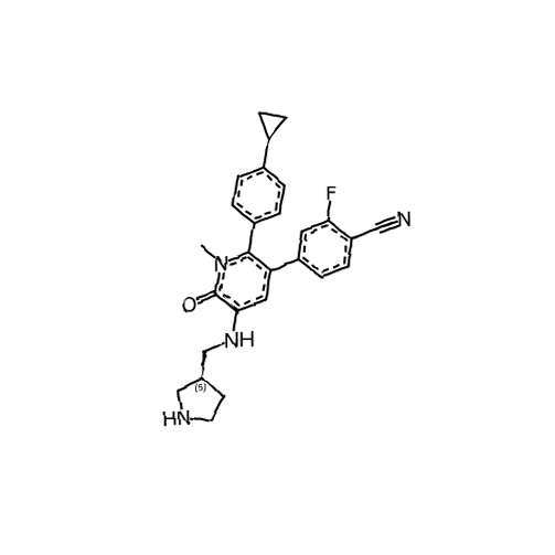 Cn1c(-c2ccc(C3CC3)cc2)c(-c2ccc(C#N)c(F)c2)cc(NC[C@H]2CCNC2)c1=O